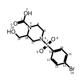 O=C(O)N1CCN(S(=O)(=O)c2ccc(Br)cc2)CC1CO